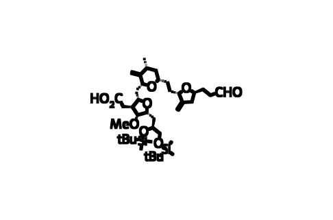 C=C1C[C@H](CCC=O)O[C@H]1CC[C@H]1C[C@@H](C)C(=C)[C@@H](C[C@@H]2O[C@H](C[C@@H](CO[Si](C)(C)C(C)(C)C)O[Si](C)(C)C(C)(C)C)[C@H](OC)[C@H]2CC(=O)O)O1